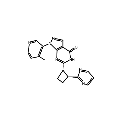 Cc1ccncc1-n1ncc2c(=O)[nH]c([C@H]3CC[C@@H]3c3ncccn3)nc21